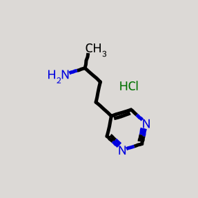 CC(N)CCc1cncnc1.Cl